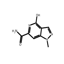 Cn1ncc2c(O)nc(C(N)=O)cc21